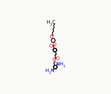 C=CCCCCCCOC1CCC(OC(=O)c2ccc(/C=C/C(=O)OCCc3cc(N)ccc3N)cc2)CC1